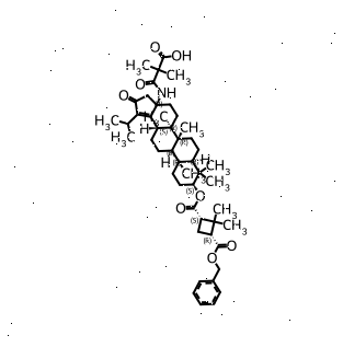 CC(C)C1=C2[C@H]3CC[C@@H]4[C@@]5(C)CC[C@H](OC(=O)[C@H]6C[C@@H](C(=O)OCc7ccccc7)C6(C)C)C(C)(C)[C@@H]5CC[C@@]4(C)[C@]3(C)CC[C@@]2(NC(=O)C(C)(C)C(=O)O)CC1=O